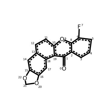 O=c1c2cccc(F)c2oc2ccc3cc4c(cc3c12)OCO4